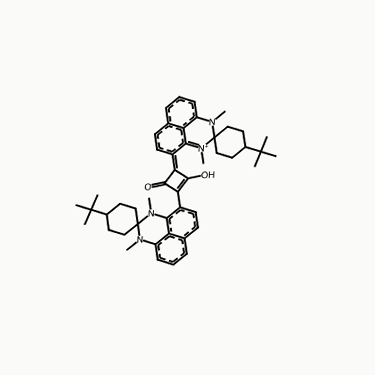 CN1c2cccc3ccc(C4=C(O)/C(=c5/ccc6cccc7c6c5=[N+](C)C5(CCC(C(C)(C)C)CC5)N7C)C4=O)c(c23)N(C)C12CCC(C(C)(C)C)CC2